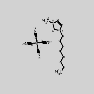 CCCCCCCCN1C=CN(C)C1.N#C[B-](C#N)(C#N)C#N